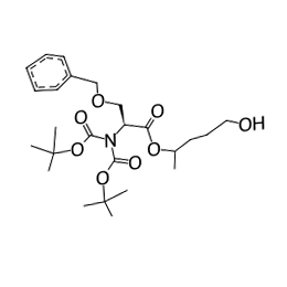 CC(CCCO)OC(=O)[C@H](COCc1ccccc1)N(C(=O)OC(C)(C)C)C(=O)OC(C)(C)C